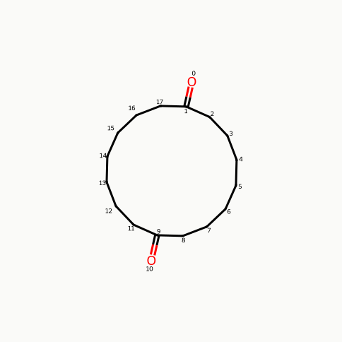 O=C1CCCCCCCC(=O)CCCCCCC1